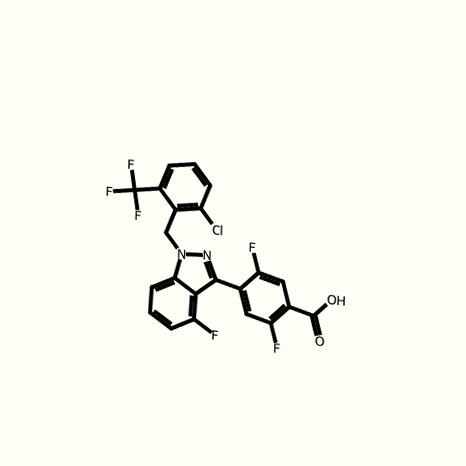 O=C(O)c1cc(F)c(-c2nn(Cc3c(Cl)cccc3C(F)(F)F)c3cccc(F)c23)cc1F